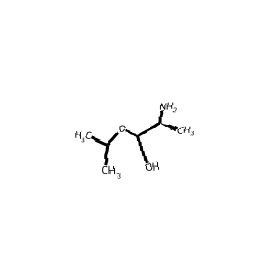 CC(C)OC(O)[C@H](C)N